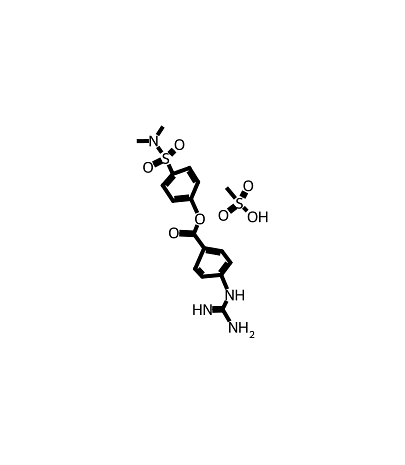 CN(C)S(=O)(=O)c1ccc(OC(=O)c2ccc(NC(=N)N)cc2)cc1.CS(=O)(=O)O